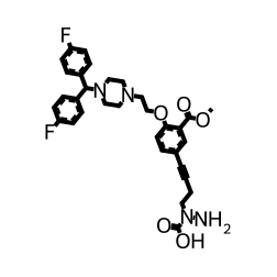 COC(=O)c1cc(C#CCCN(N)C(=O)O)ccc1OCCN1CCN(C(c2ccc(F)cc2)c2ccc(F)cc2)CC1